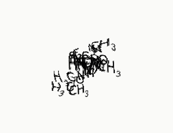 C=Cc1cc(-c2cnc(C)nc2)cc2c(C(C)=O)nn(CC(=O)N3[C@H](C(=O)Nc4nc(C(F)(F)F)ccc4C)C[C@@]4(CNC(=O)CC(C)CCC=C(C)C)C[C@@H]34)c12